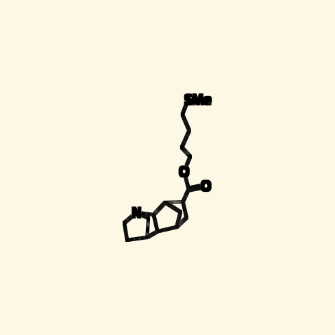 CSCCCCOC(=O)C1CC2CC1C1C2C2CCN1C2